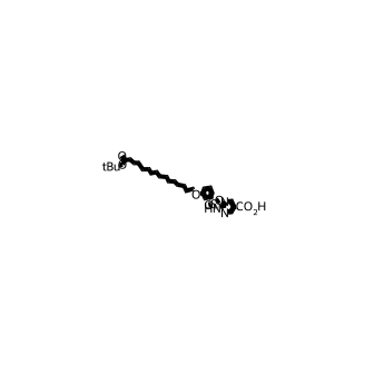 CC(C)(C)OC(=O)CCCCCCCCCCCCCCCOc1cccc(S(=O)(=O)Nc2ncc(C(=O)O)cn2)c1